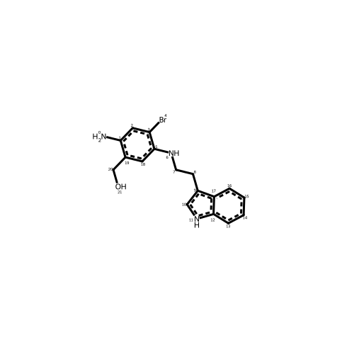 Nc1cc(Br)c(NCCc2c[nH]c3ccccc23)cc1CO